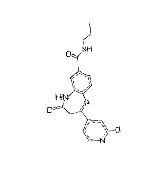 CCCNC(=O)c1ccc2c(c1)NC(=O)CC(c1ccnc(Cl)c1)=N2